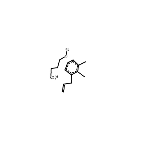 C=CCc1cccc(C)c1C.CCOCCCS(=O)(=O)O